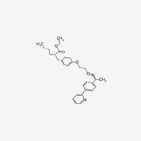 CCCCC(Cc1ccc(OCCO/N=C(/C)c2ccc(-c3ccccn3)cc2)cc1)C(=O)OCC